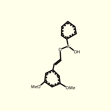 COc1cc(C=COB(O)c2ccccc2)cc(OC)c1